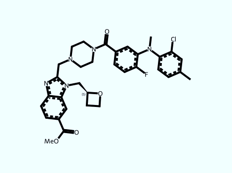 COC(=O)c1ccc2nc(CN3CCN(C(=O)c4ccc(F)c(N(C)c5ccc(C)cc5Cl)c4)CC3)n(C[C@@H]3CCO3)c2c1